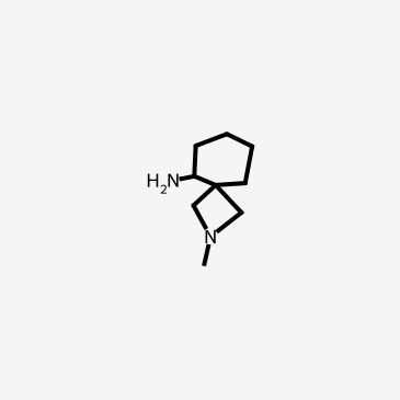 CN1CC2(CCCCC2N)C1